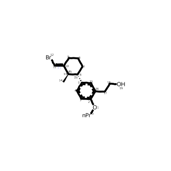 CCCOc1ccc([C@H]2CCC/C(=C\Br)[C@@H]2C)cc1CCO